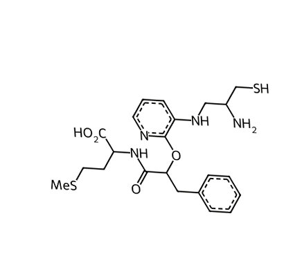 CSCCC(NC(=O)C(Cc1ccccc1)Oc1ncccc1NCC(N)CS)C(=O)O